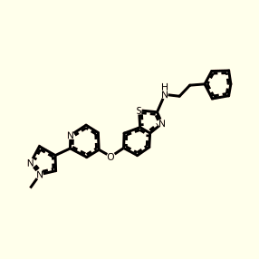 Cn1cc(-c2cc(Oc3ccc4nc(NCCc5ccccc5)sc4c3)ccn2)cn1